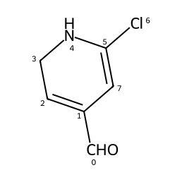 O=CC1=CCNC(Cl)=C1